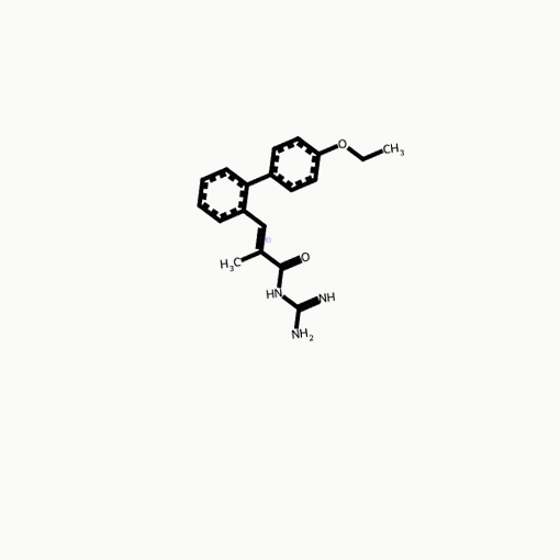 CCOc1ccc(-c2ccccc2/C=C(\C)C(=O)NC(=N)N)cc1